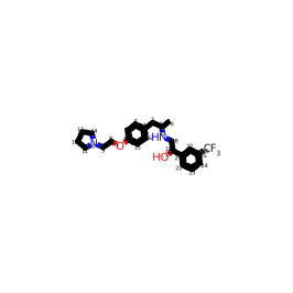 CC(Cc1ccc(OCCN2CCCC2)cc1)NCC(O)c1cccc(C(F)(F)F)c1